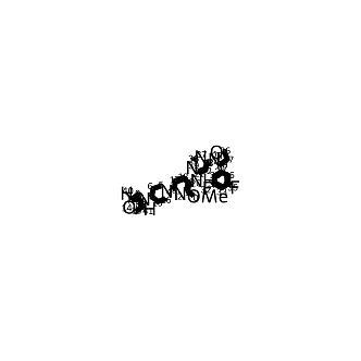 COc1nc(N2CCC(N3C[C@@H]4C[C@H]3CO4)CC2)ccc1Nc1cc(N2OCC[C@@H]2c2cc(F)cc(F)c2)ncn1